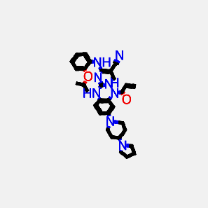 C=CC(=O)Nc1cc(N2CCC(N3CCCC3)CC2)ccc1Nc1ncc(C#N)c(Nc2ccccc2OC(C)C)n1